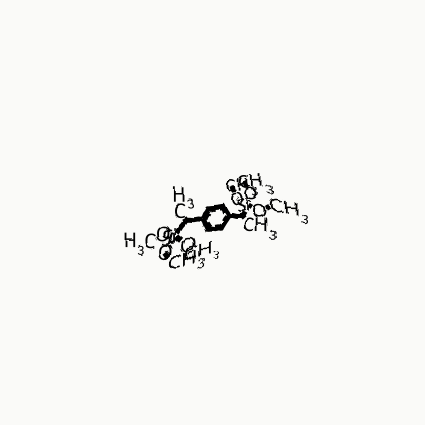 CO[Si](OC)(OC)C(C)c1ccc(C(C)[Si](OC)(OC)OC)cc1